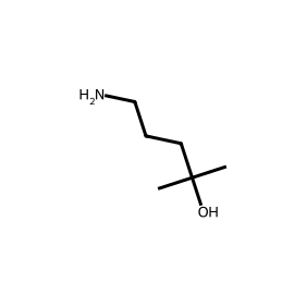 CC(C)(O)CCCN